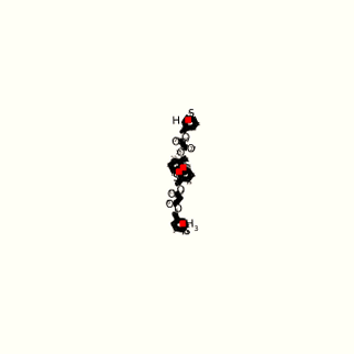 CC12CCC(COC(=O)CC(=O)OCC3CCC4(CCC56CCC(COC(=O)C(=O)OCC7CCC8(C)SC8C7)CC5S6)SC4C3)CC1S2